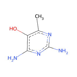 Cc1nc(N)nc(N)c1O